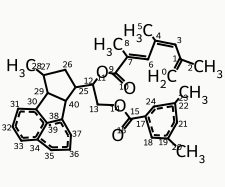 C=C(C)/C=C(C)\C=C(/C)C(=O)OC(COC(=O)c1cc(C)cc(C)c1)C1CC(C)C2c3cccc4cccc(c34)C12